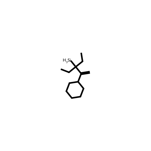 C=C(C1CCCCC1)C([SiH3])(CC)CC